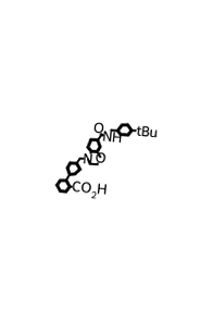 CC(C)(C)c1ccc(CNC(=O)c2ccc3c(c2)OCCN3Cc2ccc(-c3ccccc3C(=O)O)cc2)cc1